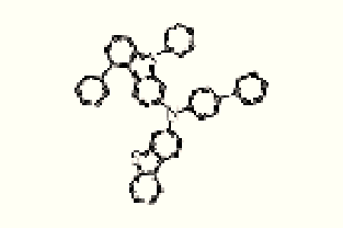 c1ccc(-c2ccc(N(c3ccc4c(c3)sc3ccccc34)c3ccc4c5c(-c6ccccc6)cccc5n(-c5ccccc5)c4c3)cc2)cc1